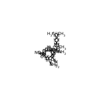 Cc1nc(-c2ccc(N3C[C@H](C)C[C@H](C)C3)cc2)nc(C)c1C(=O)N[C@@H](CCN)C(=O)N(C)[C@@H]1C(=O)N[C@@H](C)C(=O)N[C@H](C(=O)NCC#N)Cc2ccc(OCCN)c(c2)-c2cc1ccc2OCCN